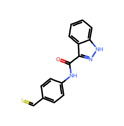 O=C(Nc1ccc(C=S)cc1)c1n[nH]c2ccccc12